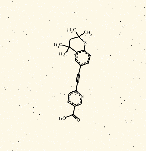 CC1(C)CC(C)(C)c2cc(C#Cc3ccc(C(=O)O)cn3)ccc2S1